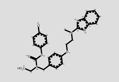 CN(CCOc1ccc(CN(CC(=O)O)C(=O)Oc2ccc(Cl)cc2)cc1)c1nc2ccccc2s1